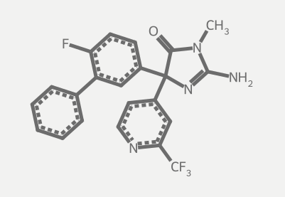 CN1C(=O)C(c2ccnc(C(F)(F)F)c2)(c2ccc(F)c(-c3ccccc3)c2)N=C1N